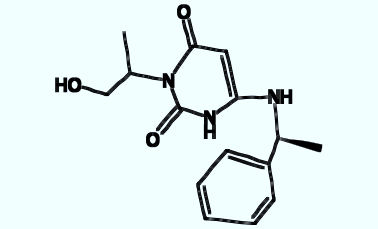 CC(CO)n1c(=O)cc(N[C@@H](C)c2ccccc2)[nH]c1=O